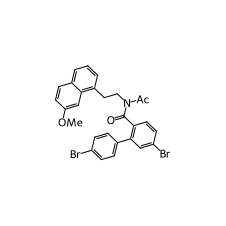 COc1ccc2cccc(CCN(C(C)=O)C(=O)c3ccc(Br)cc3-c3ccc(Br)cc3)c2c1